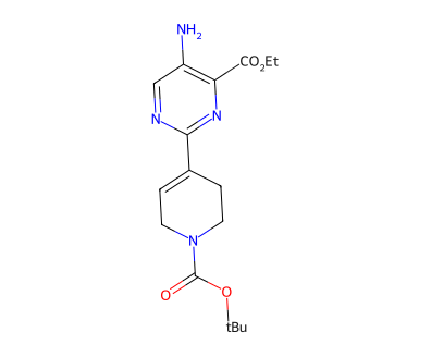 CCOC(=O)c1nc(C2=CCN(C(=O)OC(C)(C)C)CC2)ncc1N